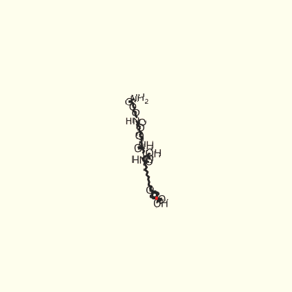 NC(=O)COCCOCCNC(=O)COCCOCCNC(=O)CC[C@H](NC(=O)CCCCCCCCCCOc1ccc(C(=O)O)cc1)C(=O)O